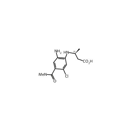 CNC(=O)c1cc(N)c(N[C@@H](C)CC(=O)O)cc1Cl